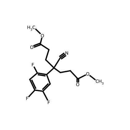 COC(=O)CCC(C#N)(CCC(=O)OC)c1cc(F)c(F)cc1F